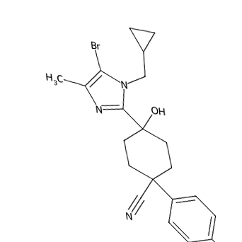 Cc1nc(C2(O)CCC(C#N)(c3ccc(F)cc3)CC2)n(CC2CC2)c1Br